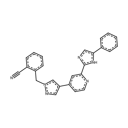 N#Cc1ccccc1Cn1cc(-c2ccnc(-c3ncc(-c4ccccc4)[nH]3)c2)cn1